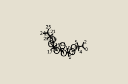 CC(C)C(C)(C)OOC(C)(C)OC(=O)OC(C)(C)OOC(C)(C)C(C)C